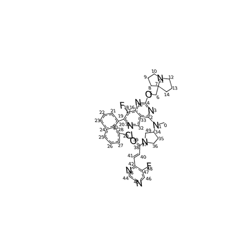 CN(c1nc(OCC23CCCN2CCC3)nc2c(F)c(-c3cccc4cccc(Cl)c34)ncc12)C1CCN(C(=O)/C=C/c2ncncc2F)C1